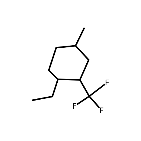 CCC1CCC(C)CC1C(F)(F)F